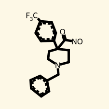 O=NC(=O)C1(c2ccc(C(F)(F)F)cc2)CCN(Cc2ccccc2)CC1